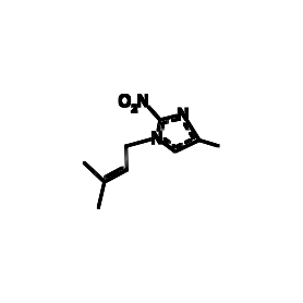 CC(C)=CCn1cc(C)nc1[N+](=O)[O-]